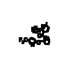 Cc1ccc(C(=O)N2CC3CCC2(COc2ccc(C(F)(F)F)cn2)C3)c(-n2ccnn2)n1